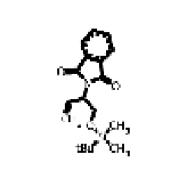 C=CC(CO[Si](C)(C)C(C)(C)C)N1C(=O)c2ccccc2C1=O